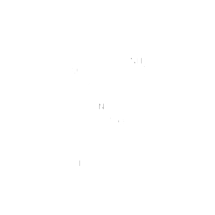 Cc1cc(C(=O)N2CCC3(CC2)COc2ccc(CN)cc23)ccc1I